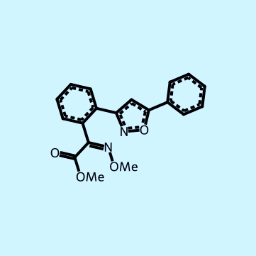 CON=C(C(=O)OC)c1ccccc1-c1cc(-c2ccccc2)on1